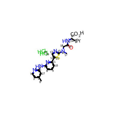 Cc1ccnc(Nc2cccc(-c3cnc(N(C)CC(=O)N[C@H](C(=O)O)C(C)C)s3)n2)c1.Cl.Cl